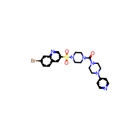 O=C(N1CCN(c2ccncc2)CC1)N1CCN(S(=O)(=O)c2cnc3cc(Br)ccc3c2)CC1